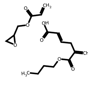 C=C(CC=CC(=O)O)C(=O)OCCCC.C=CC(=O)OCC1CO1